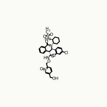 CS(=O)(=O)N[C@H]1CCCC[C@@H]1N1C(=O)c2ccccc2[C@@H](C(=O)NOCc2ccc(CO)c[n+]2[O-])[C@@H]1c1ccc(Cl)cc1Cl